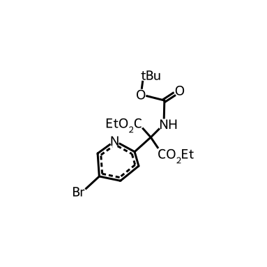 CCOC(=O)C(NC(=O)OC(C)(C)C)(C(=O)OCC)c1ccc(Br)cn1